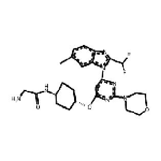 Cc1ccc2nc(C(F)F)n(-c3cc(O[C@H]4CC[C@H](NC(=O)CN)CC4)nc(N4CCOCC4)n3)c2c1